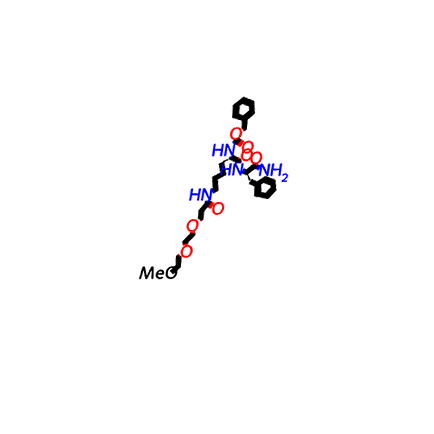 COCCOCCOCCC(=O)NCCCC[C@H](NC(=O)OCc1ccccc1)C(=O)N[C@@H](Cc1ccccc1)C(N)=O